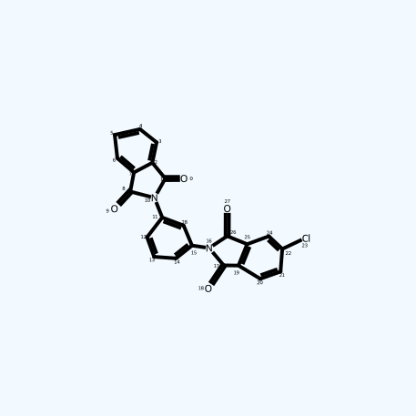 O=C1c2ccccc2C(=O)N1c1cccc(N2C(=O)c3ccc(Cl)cc3C2=O)c1